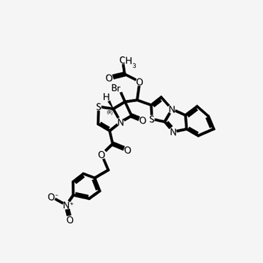 CC(=O)OC(c1cn2c(nc3ccccc32)s1)C1(Br)C(=O)N2C(C(=O)OCc3ccc([N+](=O)[O-])cc3)=CS[C@@H]21